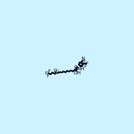 C[C@](O)(CCCCCCCCCC[S+]([O-])CCCC(F)(F)F)C(=O)Nc1ccc(C#N)c(C(F)(F)F)c1